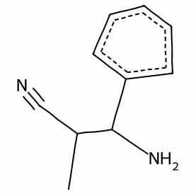 CC(C#N)C(N)c1ccccc1